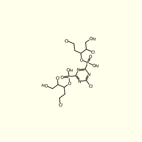 O=P(O)(OC(CCCl)C(Cl)CO)c1nc(Cl)nc(P(=O)(O)OC(CCCl)C(Cl)CO)n1